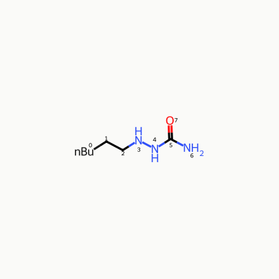 CCCCCCNNC(N)=O